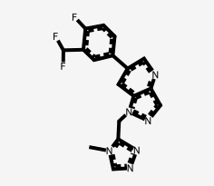 Cn1cnnc1Cn1ncc2ncc(-c3ccc(F)c(C(F)F)c3)cc21